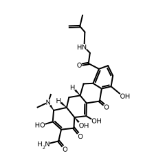 C=C(C)CNCC(=O)c1ccc(O)c2c1C[C@H]1C[C@H]3[C@H](N(C)C)C(O)=C(C(N)=O)C(=O)[C@@]3(O)C(O)=C1C2=O